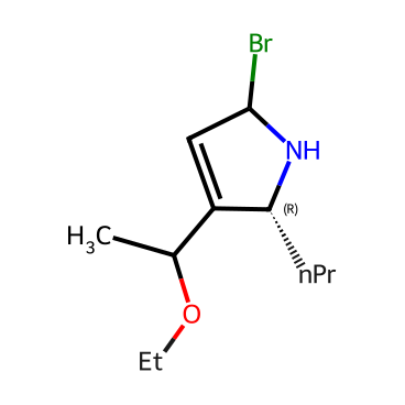 CCC[C@H]1NC(Br)C=C1C(C)OCC